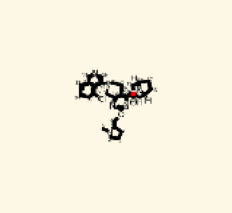 CN1CCCC1COc1nc2c(c(N3C[C@H]4CC[C@@H](C3)N4C(=O)O)n1)CCN(c1cncc3cccc(Cl)c13)C2